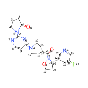 O=C1CCCN1c1nccc(N2CCC(C(=O)N3OCC[C@H]3c3cncc(F)c3)CC2)n1